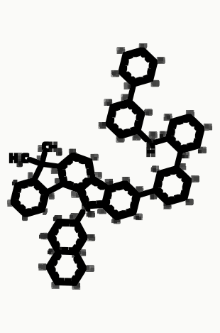 CC1(C)c2ccccc2-c2c1ccc1c3cc(-c4cccc(-c5ccccc5Nc5cccc(-c6ccccc6)c5)c4)ccc3n(-c3ccc4ccccc4c3)c21